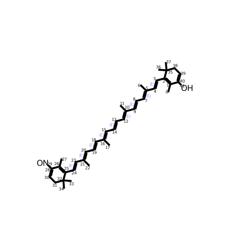 CC1=C(/C=C/C(C)=C/C=C/C(C)=C/C=C/C=C(C)/C=C/C=C(C)/C=C/C2=C(C)C(N=O)=CCC2(C)C)C(C)(C)CC=C1O